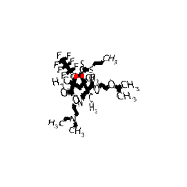 CCCSC(=S)SCC(C)(CC(C)(C(=O)OC(F)(F)C(F)(F)C(F)(F)F)C(C)(C#N)C(=O)OCCOC(C)C)C(=O)OCCN(CC)CC